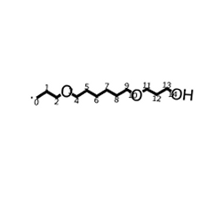 [CH2]CCOCCCCCCOCCCO